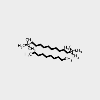 CCCCCCCCCC.C[N+](C)(C)CCCCCCCCCC[N+](C)(C)C